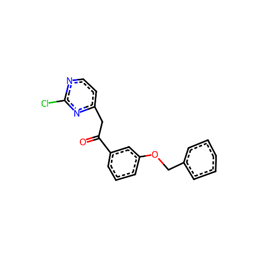 O=C(Cc1ccnc(Cl)n1)c1cccc(OCc2ccccc2)c1